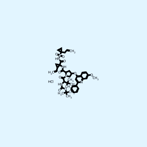 C=CCC1(S(=O)(=O)NC(=O)C2(NC(=O)C3CC(Oc4cc(-c5ccccc5)nc5cc(OC)ccc45)CN3C(=O)C(NC(=O)OC(C)(C)C)C(C)(C)C)CC2C=C)CC1.Cl